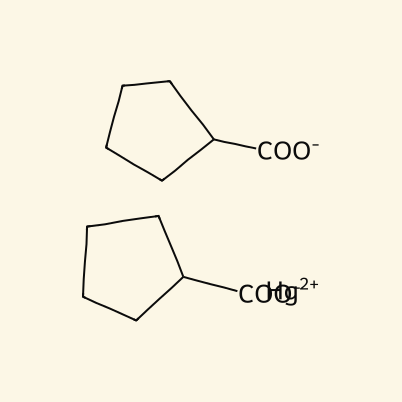 O=C([O-])C1CCCC1.O=C([O-])C1CCCC1.[Hg+2]